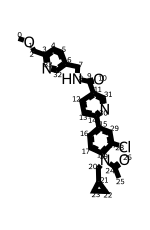 COCc1ccc(CNC(=O)c2ccc(-c3ccc(N(CC4CC4)C(C)=O)c(Cl)c3)nc2)cn1